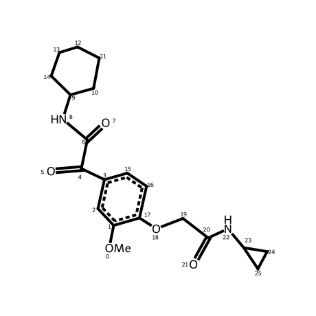 COc1cc(C(=O)C(=O)NC2CCCCC2)ccc1OCC(=O)NC1CC1